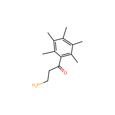 Cc1c(C)c(C)c(C(=O)CCP)c(C)c1C